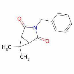 CC1(C)C2C(=O)N(Cc3ccccc3)C(=O)C21